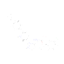 CC(OC(=O)Nc1c(F)cnn1-c1ccc(-c2ccc(C3CC3)cc2)nc1)c1ccccc1Cl